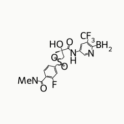 Bc1ncc(NC(=O)[C@@](C)(O)CS(=O)(=O)c2ccc(C(=O)NC)c(F)c2)cc1C(F)(F)F